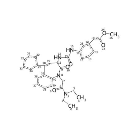 CCN(CC)C(=O)CN1C(=O)C(NC(=O)Nc2cccc(CC(=O)OC)c2)C=C(c2ccccc2)c2ccccc21